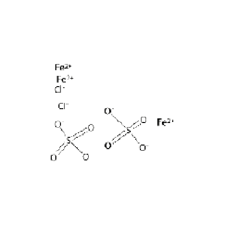 O=S(=O)([O-])[O-].O=S(=O)([O-])[O-].[Cl-].[Cl-].[Fe+2].[Fe+2].[Fe+2]